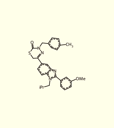 COc1cccc(-c2nc3cc(C4=NN(Cc5ccc(C)cc5)C(=O)SC4)ccc3n2CC(C)C)c1